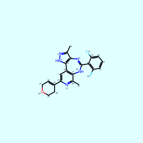 Cc1n[nH]c2c1N=C(c1c(F)cccc1F)Nc1c-2cc(C2=CCOCC2)nc1C